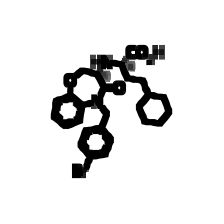 O=C(O)[C@H](CCC1CCCCC1)N[C@H]1COc2ccccc2N(Cc2ccc(Br)cc2)C1=O